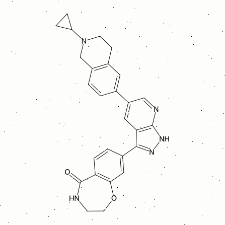 O=C1NCCOc2cc(-c3n[nH]c4ncc(-c5ccc6c(c5)CCN(C5CC5)C6)cc34)ccc21